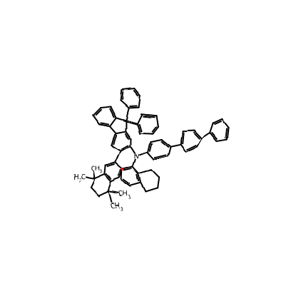 CC1(C)CCC(C)(C)c2cc(-c3cc4c(cc3N(c3ccc(-c5ccc(-c6ccccc6)cc5)cc3)c3cccc5c3CCCC5)C(c3ccccc3)(c3ccccc3)c3ccccc3-4)ccc21